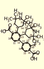 CC1(C)CC(c2c(C(=O)O)ccc(-c3ccc(C(=O)O)c(F)c3)c2C2CC(C)(C)NC(C)(C)C2)CC(C)(C)N1